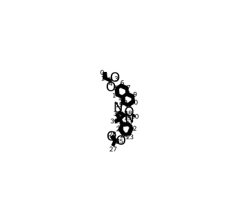 C=CC(=O)Oc1ccc2ccc3c(c2c1)N=CC1(O3)N(C)c2ccc(OC(C)=O)cc2C1(C)C